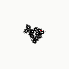 CC1C=CC=CC1[Si](c1ccccc1)(c1ccccc1)c1cccc(-c2cccc(-c3cc(-n4c5ccccc5c5ccccc54)c4sc5ccc(-n6c7ccccc7c7ccccc76)cc5c4c3)c2)c1